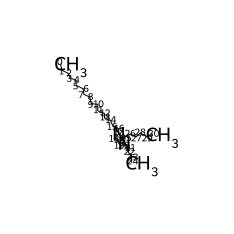 CCCCCCCCCCCCCCCCCN1C=CN(CCCC)C1CCCCC